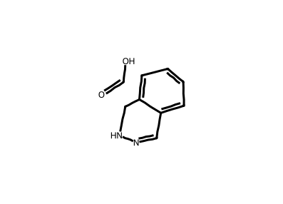 C1=NNCc2ccccc21.O=CO